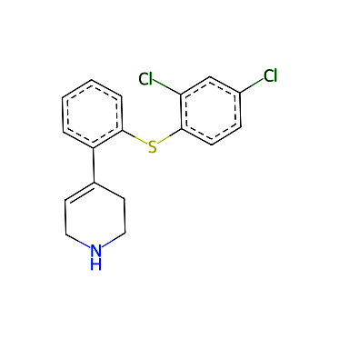 Clc1ccc(Sc2ccccc2C2=CCNCC2)c(Cl)c1